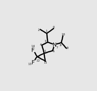 CC(C)C1CC2(CN1C(C)C)CC2(F)F